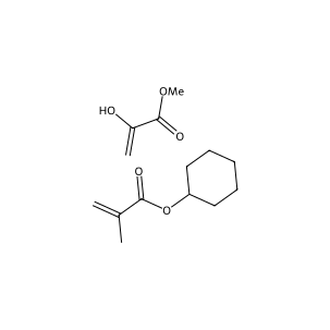 C=C(C)C(=O)OC1CCCCC1.C=C(O)C(=O)OC